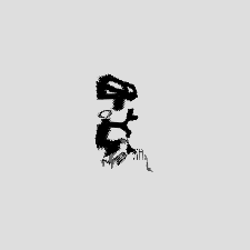 C=C(C)c1cn2c(N)nnc2cc1OCC12CC3CC(CC(C3)C1)C2